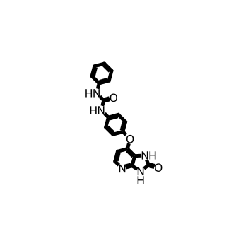 O=C(Nc1ccccc1)Nc1ccc(Oc2ccnc3[nH]c(=O)[nH]c23)cc1